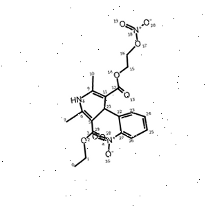 CCOC(=O)C1=C(C)NC(C)=C(C(=O)OCCO[N+](=O)[O-])C1c1ccccc1[N+](=O)[O-]